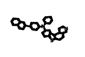 c1ccc(N(c2ccc(-c3ccc4ccccc4c3)cc2)c2ccc3sc4ccc5cnccc5c4c3c2)cc1